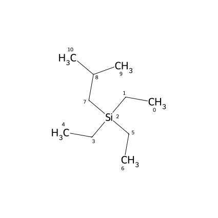 CC[Si](CC)(CC)CC(C)C